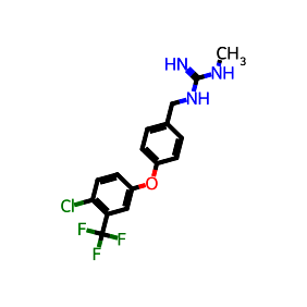 CNC(=N)NCc1ccc(Oc2ccc(Cl)c(C(F)(F)F)c2)cc1